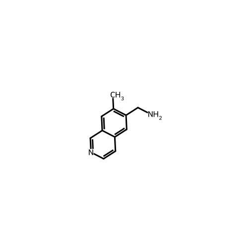 Cc1cc2cnccc2cc1CN